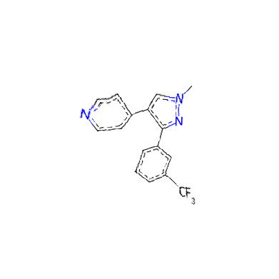 Cn1cc(-c2ccncc2)c(-c2cccc(C(F)(F)F)c2)n1